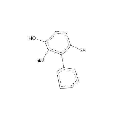 CCCCc1c(O)ccc(S)c1-c1ccccc1